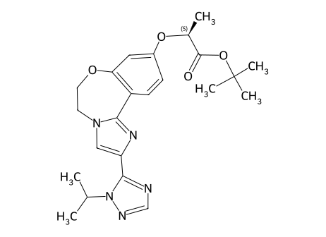 CC(C)n1ncnc1-c1cn2c(n1)-c1ccc(O[C@@H](C)C(=O)OC(C)(C)C)cc1OCC2